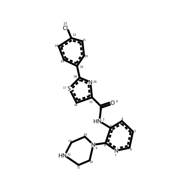 O=C(Nc1cccnc1N1CCNCC1)c1csc(-c2ccc(Cl)cc2)n1